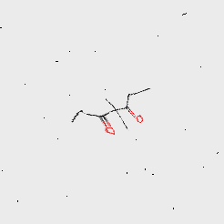 CCC(=O)C(C)(C)C(=O)CC